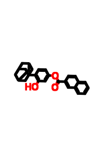 O=C(Oc1ccc(C23CC4CC(CC(C4)C2)C3)c(O)c1)c1ccc2ccccc2c1